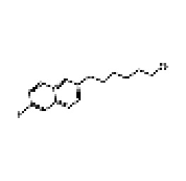 [O]CCCCCCc1ccc2cc(F)ccc2c1